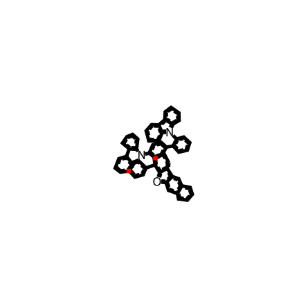 c1ccc(-c2ccccc2N(c2ccc(-c3ccccc3-n3c4ccccc4c4ccccc43)cc2)c2ccccc2-c2cccc3c2oc2cc4ccccc4cc23)cc1